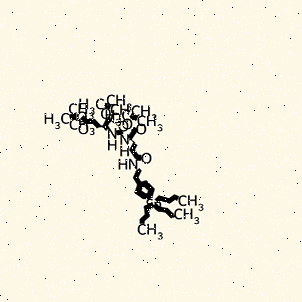 CCC[CH2][Sn]([CH2]CCC)([CH2]CCC)[c]1ccc(CCNC(=O)CC[C@H](NC(=O)N[C@@H](CCC(=O)OC(C)(C)C)C(=O)OC(C)(C)C)C(=O)OC(C)(C)C)cc1